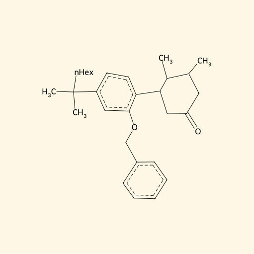 CCCCCCC(C)(C)c1ccc(C2CC(=O)CC(C)C2C)c(OCc2ccccc2)c1